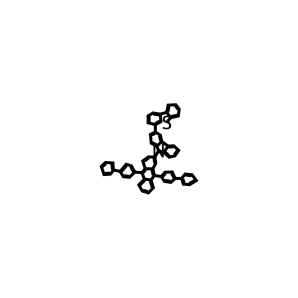 c1ccc(-c2ccc(-c3c4ccccc4c(-c4ccc(-c5ccccc5)cc4)c4cc(-n5c6ccccc6c6cc(-c7cccc8c7sc7ccccc78)ccc65)ccc34)cc2)cc1